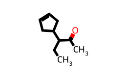 CCC(C(C)=O)C1CC=CC1